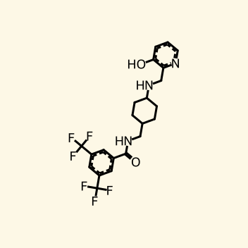 O=C(NCC1CCC(NCc2ncccc2O)CC1)c1cc(C(F)(F)F)cc(C(F)(F)F)c1